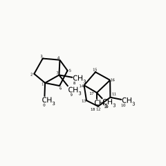 CC12CCC(CC1)C2(C)C.CC1CCC2CC1C2(C)C